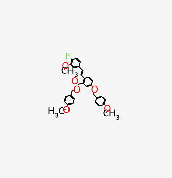 COc1ccc(COC(=O)c2cc(OCc3ccc(OC)cc3)ccc2C=Cc2ccc(F)c(OC)c2)cc1